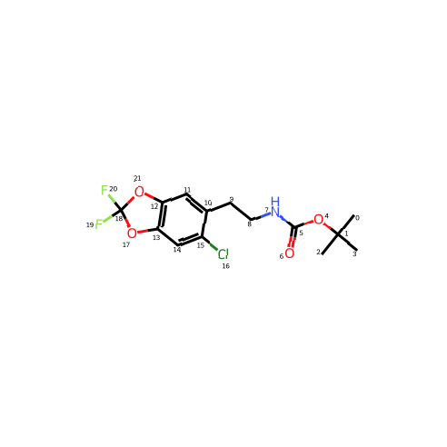 CC(C)(C)OC(=O)NCCc1cc2c(cc1Cl)OC(F)(F)O2